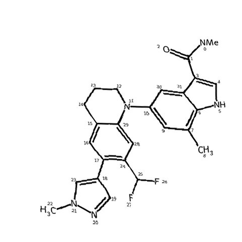 CNC(=O)c1c[nH]c2c(C)cc(N3CCCc4cc(-c5cnn(C)c5)c(C(F)F)cc43)cc12